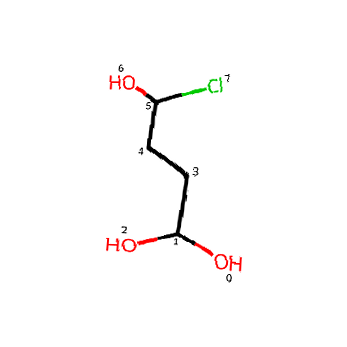 OC(O)CCC(O)Cl